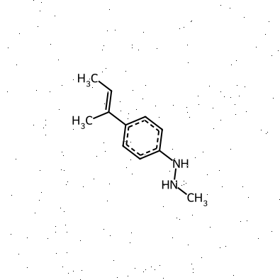 C/C=C(\C)c1ccc(NNC)cc1